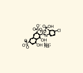 O=P(O)(O)c1cc(Cl)ccc1N=Nc1c(S(=O)(=O)[O-])cc2cc(S(=O)(=O)[O-])cc(O)c2c1O.[Na+].[Na+]